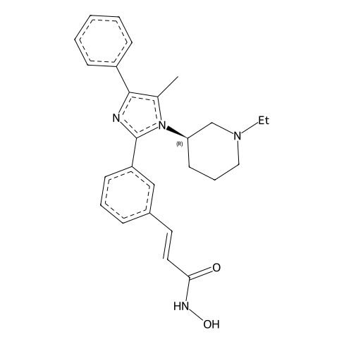 CCN1CCC[C@@H](n2c(-c3cccc(C=CC(=O)NO)c3)nc(-c3ccccc3)c2C)C1